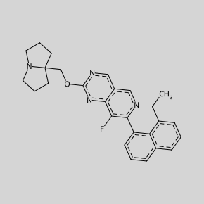 CCc1cccc2cccc(-c3ncc4cnc(OCC56CCCN5CCC6)nc4c3F)c12